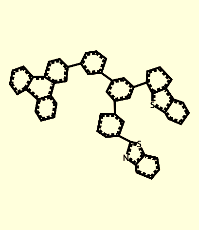 c1cc(-c2cc(-c3cccc(-c4nc5ccccc5s4)c3)cc(-c3cccc4c3sc3ccccc34)c2)cc(-c2ccc3c4ccccc4c4ccccc4c3c2)c1